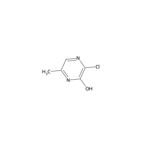 Cc1cnc(Cl)c(O)n1